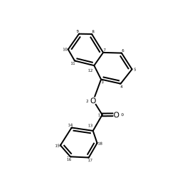 O=C(Oc1cccc2ccccc12)c1cc[c]cc1